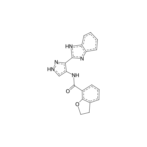 O=C(Nc1c[nH]nc1-c1nc2ccccc2[nH]1)c1cccc2c1OCC2